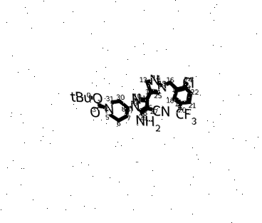 CC(C)(C)OC(=O)N1CCC[C@H](n2nc(-c3cnn(Cc4cc(C(F)(F)F)ccc4Cl)c3)c(C#N)c2N)CC1